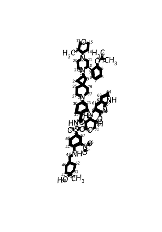 CC(C)Oc1ccccc1[C@@H]1CN([C@@H]2CCOC[C@H]2C)CCN1C1CC2(CCN(c3ccc(C(=O)NS(=O)(=O)c4ccc(NCC5CCC(C)(O)CC5)c([N+](=O)[O-])c4)c(N4c5cc6cc[nH]c6nc5O[C@H]5COCC[C@@H]54)c3)CC2)C1